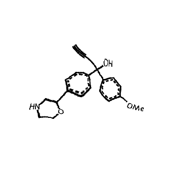 C#CC(O)(c1ccc(OC)cc1)c1ccc(C2CNCCO2)cc1